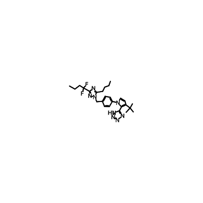 CCCCc1nc(C(F)(F)CCC)nn1Cc1ccc(-n2ccc(C(C)(C)C)c2-c2nnn[nH]2)cc1